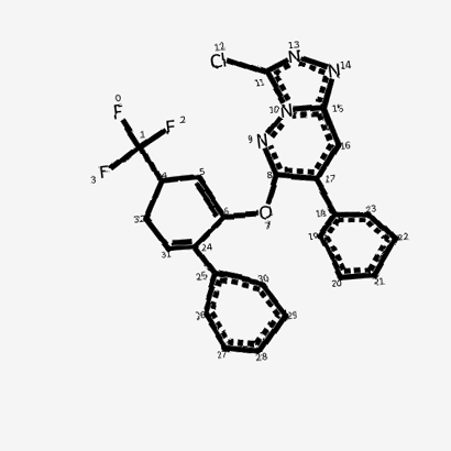 FC(F)(F)C1C=C(Oc2nn3c(Cl)nnc3cc2-c2ccccc2)C(c2ccccc2)=CC1